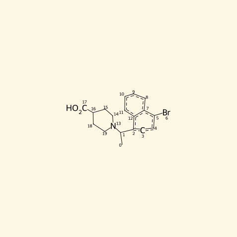 CC(c1ccc(Br)c2ccccc12)N1CCC(C(=O)O)CC1